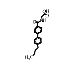 CCCCc1ccc(-c2ccc(C(=O)NCC(=O)O)cc2)cc1